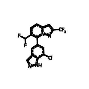 FC(F)c1ccc2cc(C(F)(F)F)nn2c1-c1cc(Cl)c2[nH]ncc2c1